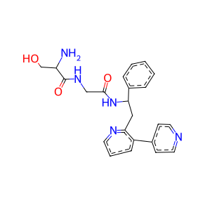 NC(CO)C(=O)NCC(=O)NC(Cc1ncccc1-c1ccncc1)c1ccccc1